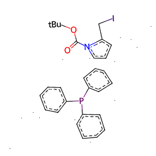 CC(C)(C)OC(=O)n1cccc1CI.c1ccc(P(c2ccccc2)c2ccccc2)cc1